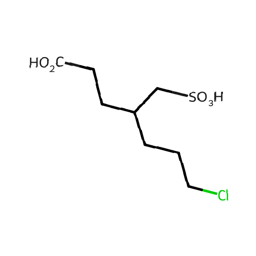 O=C(O)CCC(CCCCl)CS(=O)(=O)O